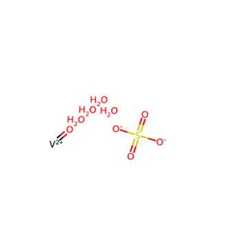 O.O.O.O.O=S(=O)([O-])[O-].[O]=[V+2]